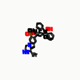 CC(C)C1NCCn2c1cc1cc(CCC(C)(C)[Si](O)(c3ccccc3)c3ccccc3)c(S(C)(=O)=O)cc12